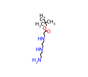 CCC(C)(C)COC(=O)CCNCCCNCCCN